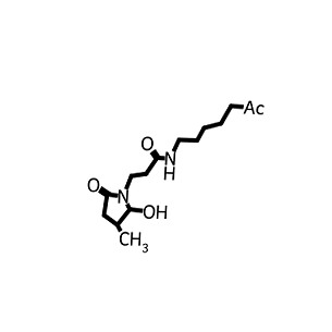 CC(=O)CCCCCNC(=O)CCN1C(=O)CC(C)C1O